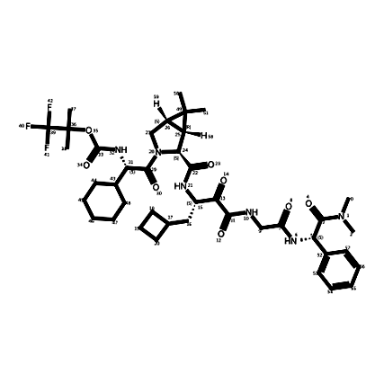 CN(C)C(=O)[C@@H](NC(=O)CNC(=O)C(=O)[C@H](CC1CCC1)NC(=O)[C@@H]1[C@@H]2[C@H](CN1C(=O)[C@@H](NC(=O)OC(C)(C)C(F)(F)F)C1CCCCC1)C2(C)C)c1ccccc1